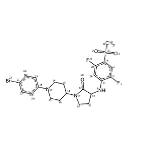 CS(=O)(=O)c1cc(F)c(NC2CCN(C3CCN(c4cnc(Br)cn4)CC3)C2=O)cc1F